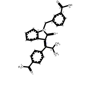 CC(=O)c1ccc(/C(=C2/C(=O)N(Cc3cccc(C(=O)O)c3)c3ccccc32)C(C)C)cc1